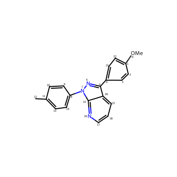 COc1ccc(-c2nn(-c3ccc(C)cc3)c3ncccc23)cc1